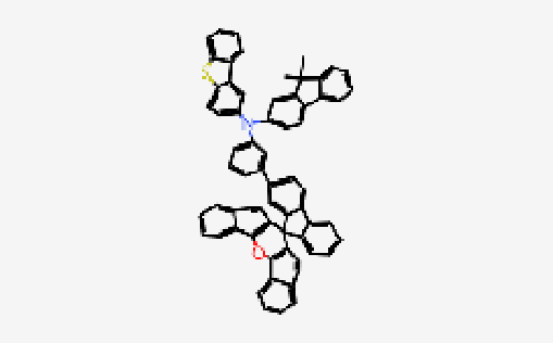 CC1(C)c2ccccc2-c2ccc(N(c3cccc(-c4ccc5c(c4)C4(c6ccccc6-5)c5ccc6ccccc6c5Oc5c4ccc4ccccc54)c3)c3ccc4sc5ccccc5c4c3)cc21